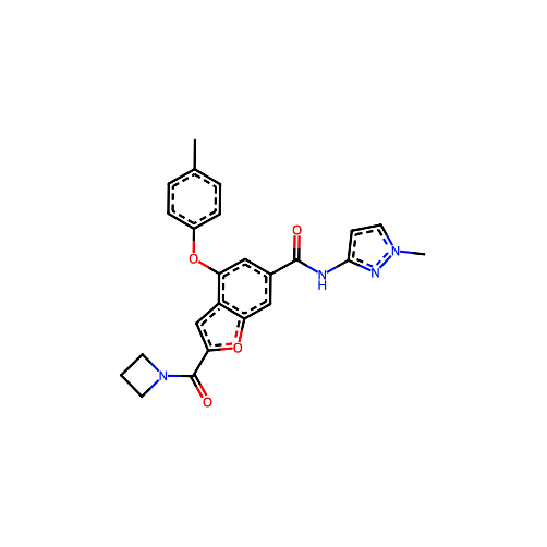 Cc1ccc(Oc2cc(C(=O)Nc3ccn(C)n3)cc3oc(C(=O)N4CCC4)cc23)cc1